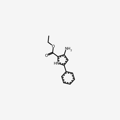 CCOC(=O)c1[nH]c(-c2ccccc2)cc1N